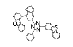 C1=c2ccccc2=C(c2cccc3oc4ccccc4c23)CC1c1nc(-c2ccccc2)nc(-c2ccc3sc4ccccc4c3c2)n1